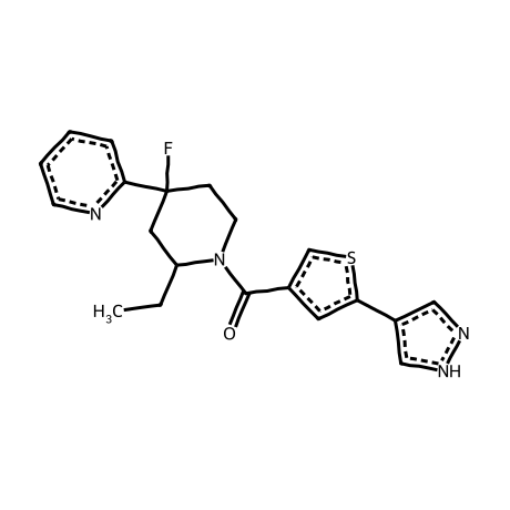 CCC1CC(F)(c2ccccn2)CCN1C(=O)c1csc(-c2cn[nH]c2)c1